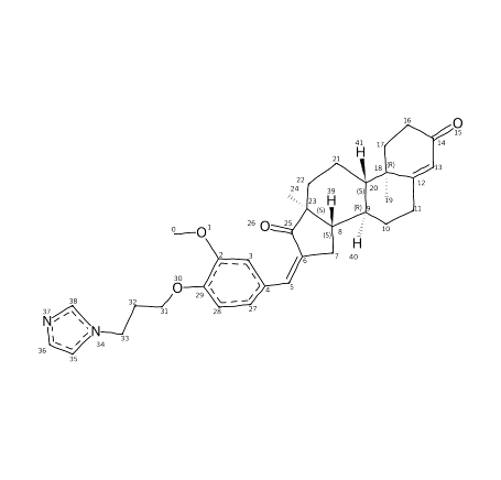 COc1cc(C=C2C[C@H]3[C@@H]4CCC5=CC(=O)CC[C@]5(C)[C@H]4CC[C@]3(C)C2=O)ccc1OCCCn1ccnc1